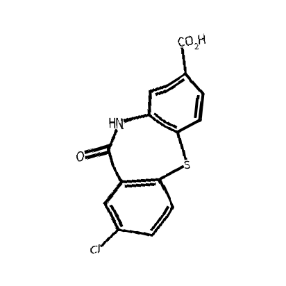 O=C(O)c1ccc2c(c1)NC(=O)c1cc(Cl)ccc1S2